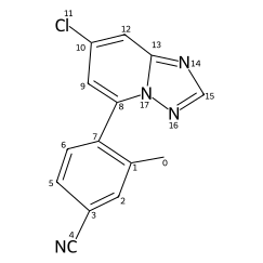 Cc1cc(C#N)ccc1-c1cc(Cl)cc2ncnn12